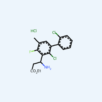 CCOC(=O)CC(N)c1c(F)c(C)cc(-c2ccccc2Cl)c1Cl.Cl